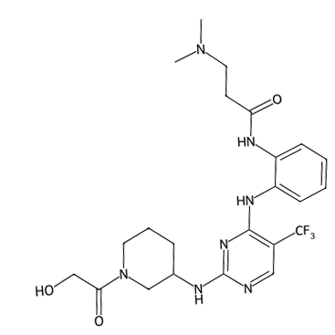 CN(C)CCC(=O)Nc1ccccc1Nc1nc(NC2CCCN(C(=O)CO)C2)ncc1C(F)(F)F